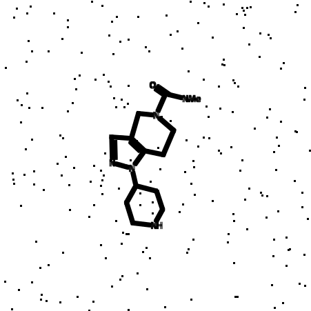 CNC(=O)N1CCc2c(cnn2C2CCNCC2)C1